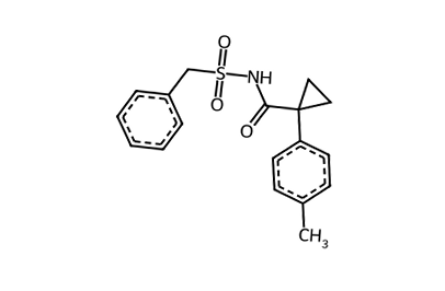 Cc1ccc(C2(C(=O)NS(=O)(=O)Cc3ccccc3)CC2)cc1